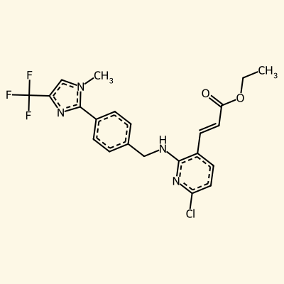 CCOC(=O)/C=C/c1ccc(Cl)nc1NCc1ccc(-c2nc(C(F)(F)F)cn2C)cc1